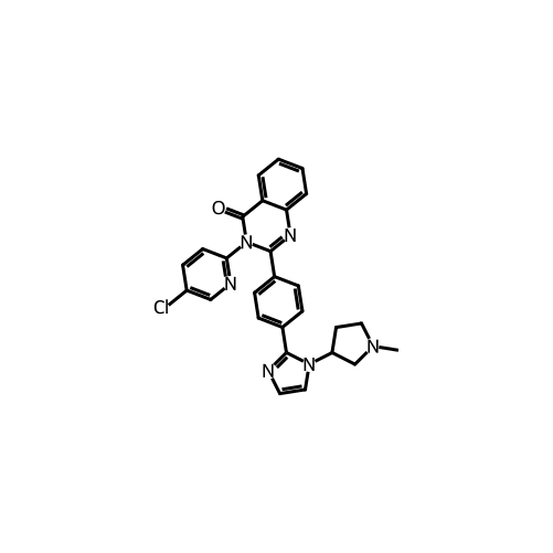 CN1CCC(n2ccnc2-c2ccc(-c3nc4ccccc4c(=O)n3-c3ccc(Cl)cn3)cc2)C1